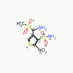 CS(=O)(=O)C(N)c1csc([N+](=O)[O-])c1S(N)(=O)=O